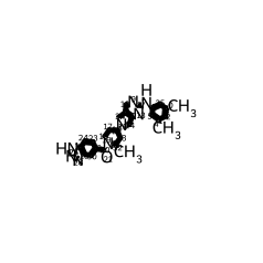 Cc1cc(C)cc(Nc2ncc3c(n2)CN([C@H]2CCN(C(=O)c4ccc5[nH]nnc5c4)[C@H](C)C2)C3)c1